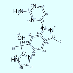 Cc1nn(-c2ccnc(N)n2)c2cc(C(C)(O)c3ncc[nH]3)ccc12